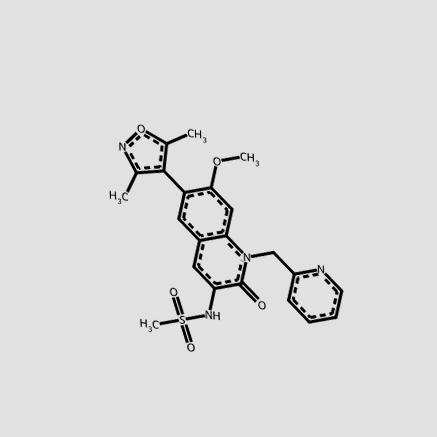 COc1cc2c(cc1-c1c(C)noc1C)cc(NS(C)(=O)=O)c(=O)n2Cc1ccccn1